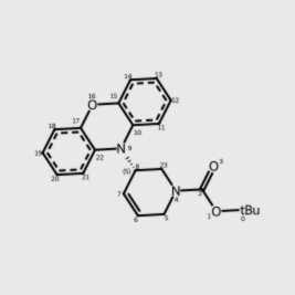 CC(C)(C)OC(=O)N1CC=C[C@H](N2c3ccccc3Oc3ccccc32)C1